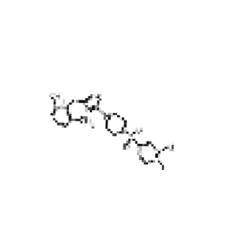 Cc1cccc(C)c1Cc1csc(N2CCN(S(=O)(=O)c3ccc(F)c(Cl)c3)CC2)n1